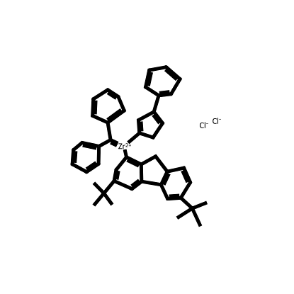 CC(C)(C)c1ccc2c(c1)-c1cc(C(C)(C)C)c[c]([Zr+2]([C]3=CC(c4ccccc4)=CC3)=[C](c3ccccc3)c3ccccc3)c1C2.[Cl-].[Cl-]